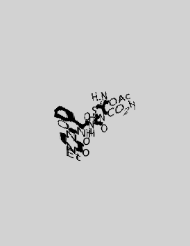 CCN1CCN(C(=O)NC(C(=O)N[C@H]2C(=O)N3C(C(=O)O)=C(C(N)OC(C)=O)CS[C@H]23)c2ccccc2)C(=O)C1=O